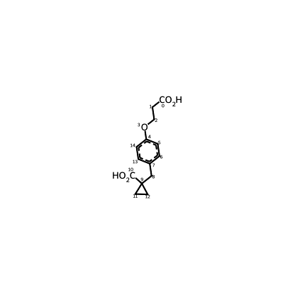 O=C(O)CCOc1ccc(CC2(C(=O)O)CC2)cc1